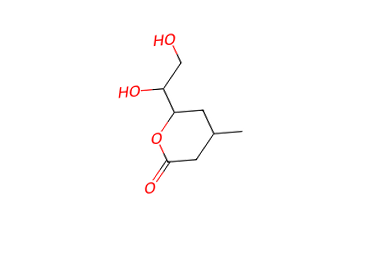 CC1CC(=O)OC(C(O)CO)C1